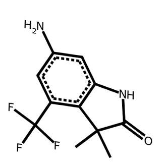 CC1(C)C(=O)Nc2cc(N)cc(C(F)(F)F)c21